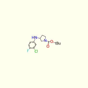 CC(C)(C)OC(=O)N1CCC(Nc2ccc(F)c(Cl)c2)C1